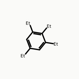 [CH2]Cc1cc(CC)c(CC)c(CC)c1